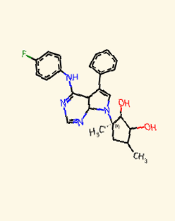 CC1C[C@@](C)(N2C=C(c3ccccc3)C3C(Nc4ccc(F)cc4)=NC=NC32)C(O)C1O